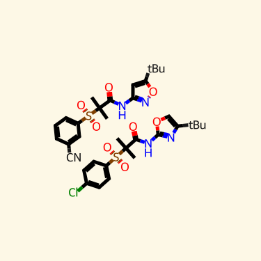 CC(C)(C)c1cc(NC(=O)C(C)(C)S(=O)(=O)c2cccc(C#N)c2)no1.CC(C)(C)c1coc(NC(=O)C(C)(C)S(=O)(=O)c2ccc(Cl)cc2)n1